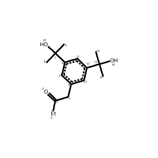 CCC(=O)Cc1cc(C(C)(C)O)cc(C(C)(C)O)c1